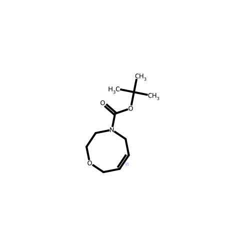 CC(C)(C)OC(=O)N1C/C=C\COCC1